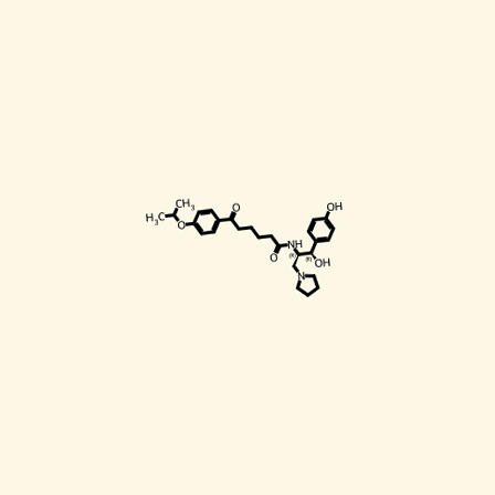 CC(C)Oc1ccc(C(=O)CCCCC(=O)N[C@H](CN2CCCC2)[C@H](O)c2ccc(O)cc2)cc1